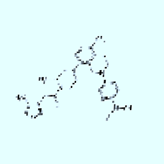 Cc1ccnn1CC(=O)N1CCN(c2ccc(C(F)(F)F)c3c2CN(c2cnc(N(C)C)nc2)CC3)C[C@H]1C